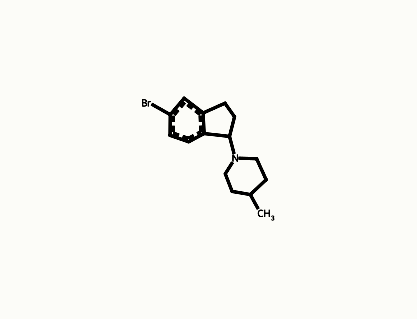 CC1CCN(C2CCc3cc(Br)ccc32)CC1